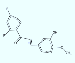 COc1ccc(/C=C/C(=O)c2ccc(F)cc2F)cc1O